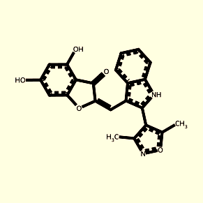 Cc1noc(C)c1-c1[nH]c2ccccc2c1C=C1Oc2cc(O)cc(O)c2C1=O